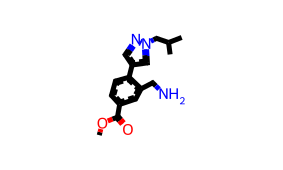 COC(=O)c1ccc(-c2cnn(C[C](C)C)c2)c(CN)c1